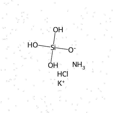 Cl.N.[K+].[O-][Si](O)(O)O